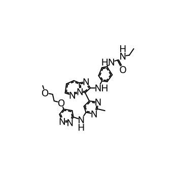 CCNC(=O)Nc1ccc(Nc2nc3cccnn3c2-c2cc(Nc3cc(OCCOC)cnn3)nc(C)n2)cc1